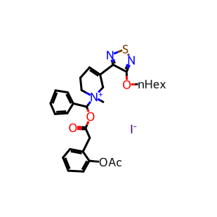 CCCCCCOc1nsnc1C1=CCC[N+](C)(C(OC(=O)Cc2ccccc2OC(C)=O)c2ccccc2)C1.[I-]